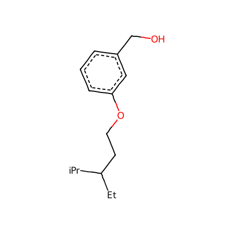 CCC(CCOc1cccc(CO)c1)C(C)C